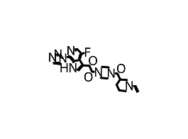 C=CN1CCCC(C(=O)N2CCN(C(=O)C(=O)c3c[nH]c4c(-n5ccnn5)ncc(F)c34)CC2)C1